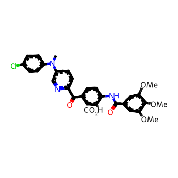 COc1cc(C(=O)Nc2ccc(C(=O)c3ccc(N(C)c4ccc(Cl)cc4)cn3)cc2C(=O)O)cc(OC)c1OC